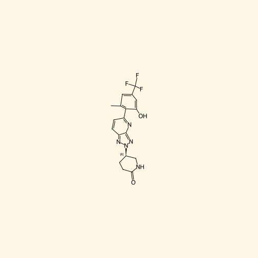 Cc1cc(C(F)(F)F)cc(O)c1-c1ccc2nn([C@@H]3CCC(=O)NC3)nc2n1